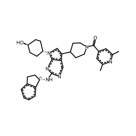 Cc1cc(C(=O)N2CCC(c3cn([C@H]4CC[C@H](O)CC4)c4nc(N[C@H]5CCc6ccccc65)ncc34)CC2)cc(C)n1